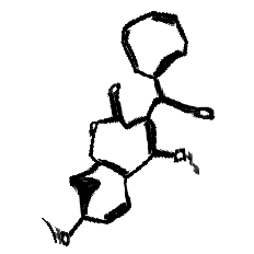 Cc1c(C(=O)c2ccccc2)c(=O)oc2cc(O)ccc12